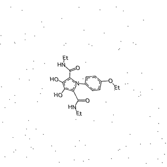 CCNC(=O)c1c(O)c(O)c(C(=O)NCC)n1-c1ccc(OCC)cc1